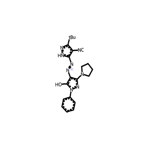 [C-]#[N+]c1c(C(C)(C)C)n[nH]c1/N=N/c1c(N2CCCC2)nn(-c2ccccc2)c1O